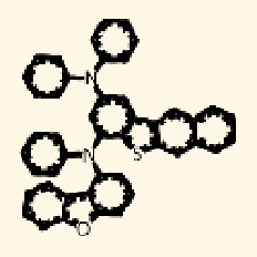 c1ccc(N(c2ccccc2)c2cc(N(c3ccccc3)c3cccc4oc5ccccc5c34)c3sc4cc5ccccc5cc4c3c2)cc1